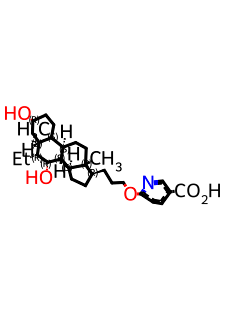 CC[C@H]1[C@@H](O)[C@@H]2[C@H](CC[C@]3(C)[C@@H](CCCOc4ccc(C(=O)O)cn4)CC[C@@H]23)[C@@]2(C)CC[C@@H](O)C[C@@H]12